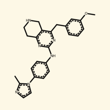 COc1cccc(Cc2nc(Nc3ccc(-n4ccnc4C)cc3)nc3c2CNCC3)c1